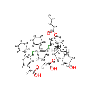 CC(C(=O)O)c1ccc(-c2ccccc2)c(F)c1.CC(C(=O)O)c1ccc(-c2ccccc2)c(F)c1.CCCCC(=O)O[C@H]1CC[C@H]2[C@@H]3CCc4cc(O)ccc4[C@H]3CC[C@]12C